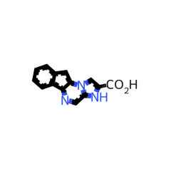 O=C(O)c1cn2c3cc4ccccc4c-3ncc2[nH]1